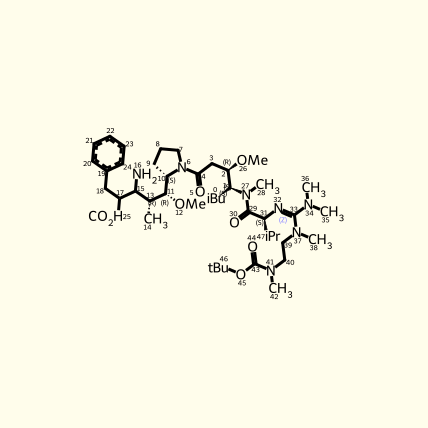 CC[C@H](C)[C@@H]([C@@H](CC(=O)N1CCC[C@H]1[C@H](OC)[C@H](C)C(N)C(Cc1ccccc1)C(=O)O)OC)N(C)C(=O)[C@@H](/N=C(/N(C)C)N(C)CCN(C)C(=O)OC(C)(C)C)C(C)C